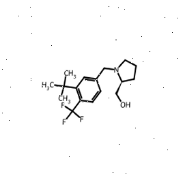 CC(C)(C)c1cc(CN2CCC[C@H]2CO)ccc1C(F)(F)F